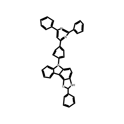 c1ccc(-c2cc(-c3ccc(-n4c5ccccc5c5c6c(ccc54)NC(c4ccccc4)O6)cc3)nc(-c3ccccc3)n2)cc1